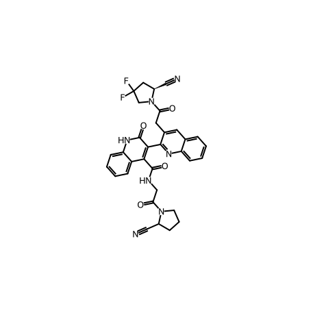 N#CC1CCCN1C(=O)CNC(=O)c1c(-c2nc3ccccc3cc2CC(=O)N2CC(F)(F)C[C@H]2C#N)c(=O)[nH]c2ccccc12